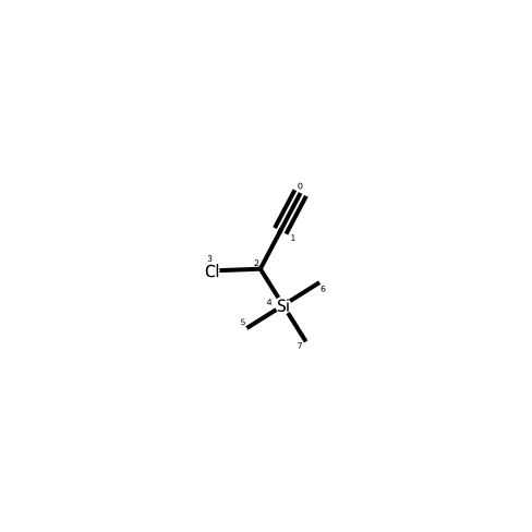 C#CC(Cl)[Si](C)(C)C